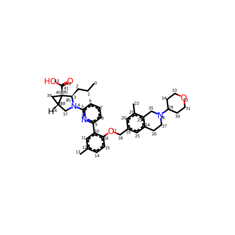 CCC[C@H]1N(c2cccc(-c3cc(C)ccc3OCc3cc(C)c4c(c3)CCN(C3CCOCC3)C4)n2)C[C@@H]2C[C@@]21C(=O)O